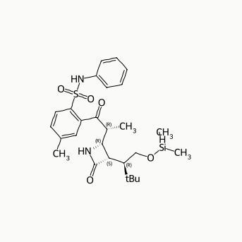 Cc1ccc(S(=O)(=O)Nc2ccccc2)c(C(=O)[C@H](C)[C@H]2NC(=O)[C@H]2[C@@H](CO[SiH](C)C)C(C)(C)C)c1